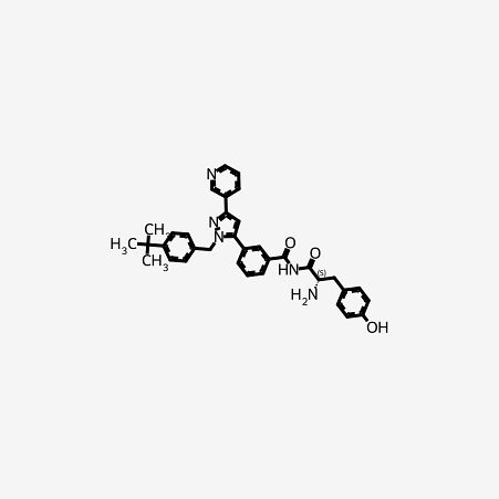 CC(C)(C)c1ccc(Cn2nc(-c3cccnc3)cc2-c2cccc(C(=O)NC(=O)[C@@H](N)Cc3ccc(O)cc3)c2)cc1